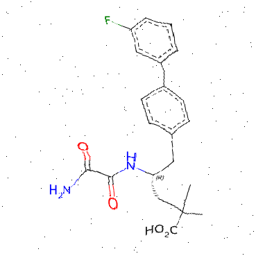 CC(C)(C[C@@H](Cc1ccc(-c2cccc(F)c2)cc1)NC(=O)C(N)=O)C(=O)O